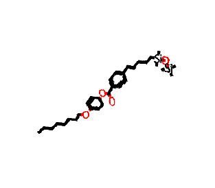 CCCCCCCCOc1ccc(OC(=O)c2ccc(CCCCC[Si](C)(C)O[Si](C)(C)C)cc2)cc1